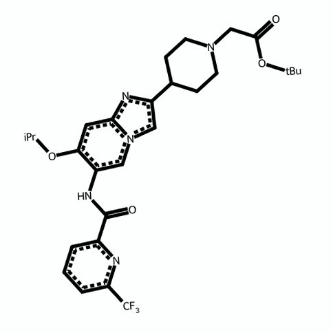 CC(C)Oc1cc2nc(C3CCN(CC(=O)OC(C)(C)C)CC3)cn2cc1NC(=O)c1cccc(C(F)(F)F)n1